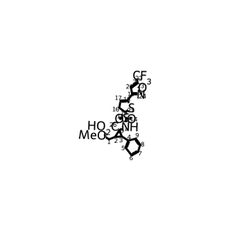 COCC1C(c2ccccc2)C1(NS(=O)(=O)C1CC=C(c2cc(C(F)(F)F)on2)S1)C(=O)O